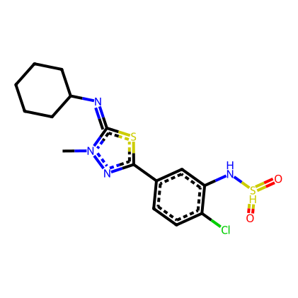 Cn1nc(-c2ccc(Cl)c(N[SH](=O)=O)c2)s/c1=N/C1CCCCC1